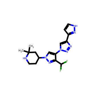 CC1(C)CC(n2cc(-n3cc(-c4cc[nH]n4)nn3)c(C(F)F)n2)CCN1